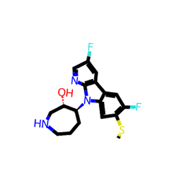 CSc1cc2c(cc1F)c1cc(F)cnc1n2[C@H]1CCCNC[C@@H]1O